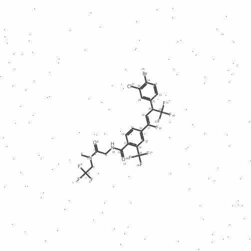 CN(CC(F)(F)F)C(=O)CNC(=O)c1ccc(/C(F)=C/C(c2ccc(Br)c(Cl)c2)C(F)(F)F)cc1C(F)(F)F